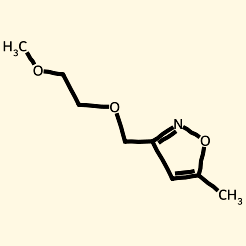 COCCOCc1cc(C)on1